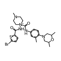 Cc1cc(NC(=O)[N+]2(NC(=O)c3ccc(Br)s3)CCN(C)CC2)ccc1N1CC(C)OC(C)C1